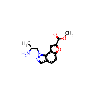 COC(=O)c1cc2c(ccc3cnn(C[C@H](C)N)c32)o1